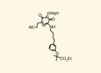 CCCCCCCn1c(=O)c(NCCCCc2cccc(OC(C)(C)C(=O)OCC)c2)nn(CCC#N)c1=O